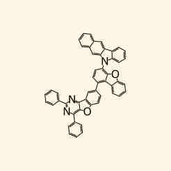 c1ccc(-c2nc(-c3ccccc3)c3oc4ccc(-c5ccc(-n6c7ccccc7c7cc8ccccc8cc76)c6oc7ccccc7c56)cc4c3n2)cc1